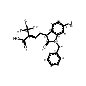 O=C(O)/C(=C/CC1C(=O)N(Cc2ccccc2)c2cc(Cl)ccc21)C(F)(F)F